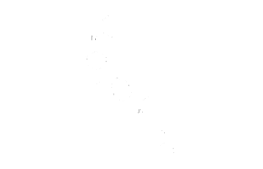 C=CC(=O)NCCNC(=O)c1ccc(C(=O)c2ccc(NC(=O)C=C)cc2)cc1